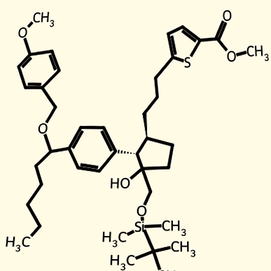 CCCCCC(OCc1ccc(OC)cc1)c1ccc([C@@H]2[C@@H](CCCc3ccc(C(=O)OC)s3)CCC2(O)CO[Si](C)(C)C(C)(C)C)cc1